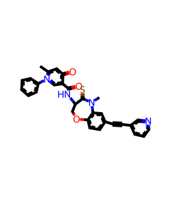 Cc1cc(=O)c(C(=O)NC2COc3ccc(C#Cc4cccnc4)cc3N(C)C2=S)cn1-c1ccccc1